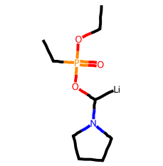 [Li][CH](OP(=O)(CC)OCC)N1CCCC1